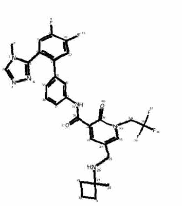 Cn1cnnc1-c1cc(F)c(F)cc1-c1cccc(NC(=O)c2cc(CNC3(C)CCC3)cn(CC(F)(F)F)c2=O)c1